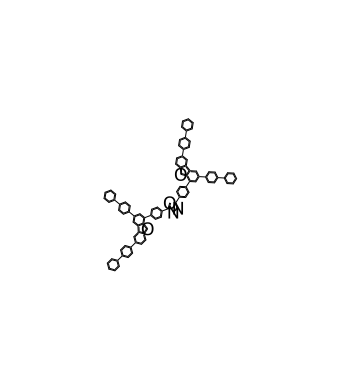 c1ccc(-c2ccc(-c3ccc4oc5c(-c6ccc(-c7nnc(-c8ccc(-c9cc(-c%10ccc(-c%11ccccc%11)cc%10)cc%10c9oc9ccc(-c%11ccc(-c%12ccccc%12)cc%11)cc9%10)cc8)o7)cc6)cc(-c6ccc(-c7ccccc7)cc6)cc5c4c3)cc2)cc1